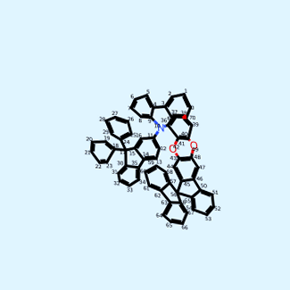 c1ccc(-c2ccccc2N(c2ccc3c(c2)C(c2ccccc2)(c2ccccc2)c2ccccc2-3)c2cccc3c2Oc2cc4c(cc2O3)-c2ccccc2C42c3ccccc3-c3ccccc32)cc1